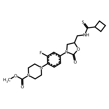 COC(=O)N1CCN(c2ccc(N3CC(CNC(=S)C4CCC4)OC3=O)cc2F)CC1